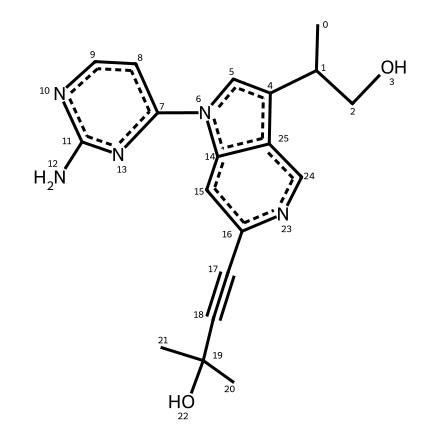 CC(CO)c1cn(-c2ccnc(N)n2)c2cc(C#CC(C)(C)O)ncc12